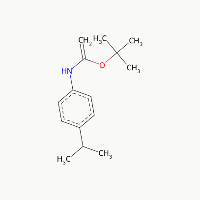 C=C(Nc1ccc(C(C)C)cc1)OC(C)(C)C